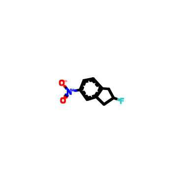 O=[N+]([O-])c1ccc2c(c1)CC(F)C2